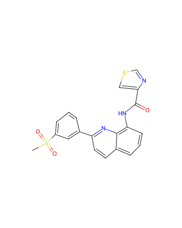 CS(=O)(=O)c1cccc(-c2ccc3cccc(NC(=O)c4cscn4)c3n2)c1